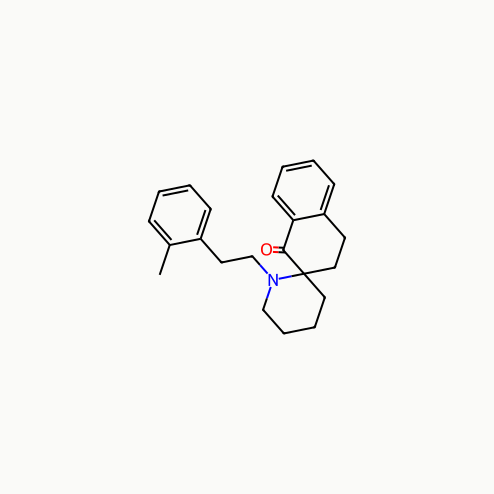 Cc1ccccc1CCN1CCCCC12CCc1ccccc1C2=O